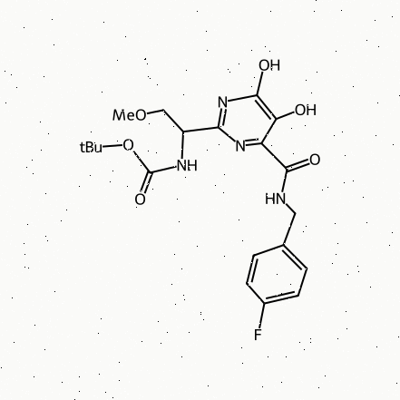 COCC(NC(=O)OC(C)(C)C)c1nc(O)c(O)c(C(=O)NCc2ccc(F)cc2)n1